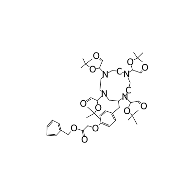 CC(C)(C)OC(C=O)N1CCN(C(C=O)OC(C)(C)C)CCN(C(C=O)OC(C)(C)C)C(Cc2ccc(OCC(=O)OCc3ccccc3)cc2)CN(C(C=O)OC(C)(C)C)CC1